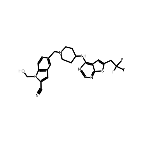 N#Cc1cc2cc(CN3CCC(Nc4ncnc5sc(CC(F)(F)F)cc45)CC3)ccc2n1CO